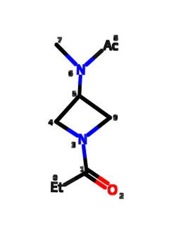 CCC(=O)N1CC(N(C)C(C)=O)C1